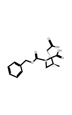 C[C@H]1CN(C(=O)OCc2ccccc2)[C@@]1(CC(=O)O)C(=O)O